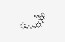 Nc1ccc(Sc2ccc(OCCCCN3CCCCC3)cc2)cc1N